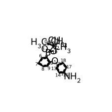 CC1(C)OB(c2ccccc2Oc2ccc(N)cc2)OC1(C)C